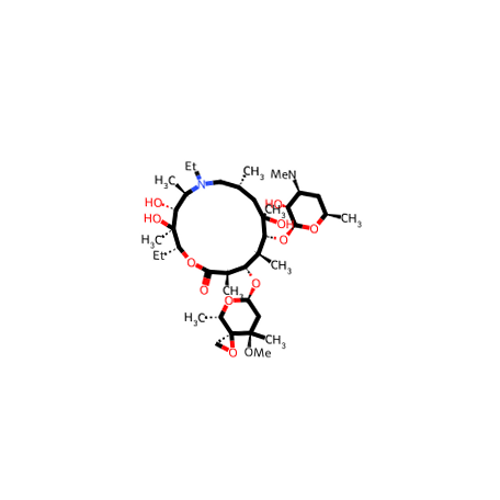 CC[C@H]1OC(=O)[C@H](C)[C@@H](O[C@H]2C[C@@](C)(OC)[C@]3(CO3)[C@H](C)O2)[C@H](C)[C@@H](O[C@@H]2O[C@H](C)C[C@H](NC)[C@H]2O)[C@](C)(O)C[C@@H](C)CN(CC)[C@H](C)[C@@H](O)[C@]1(C)O